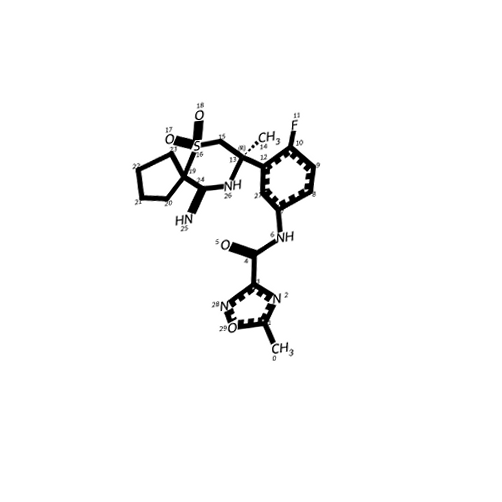 Cc1nc(C(=O)Nc2ccc(F)c([C@]3(C)CS(=O)(=O)C4(CCCC4)C(=N)N3)c2)no1